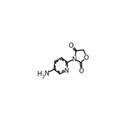 Nc1ccc(N2C(=O)COC2=O)nc1